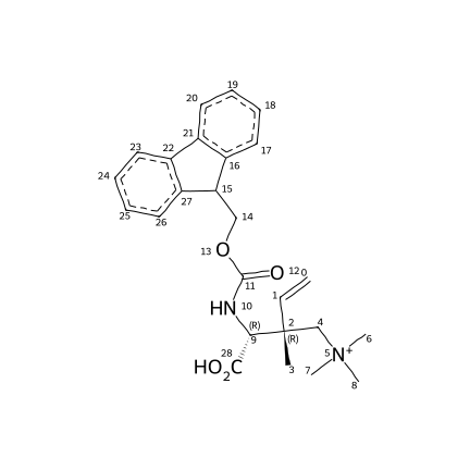 C=C[C@](C)(C[N+](C)(C)C)[C@@H](NC(=O)OCC1c2ccccc2-c2ccccc21)C(=O)O